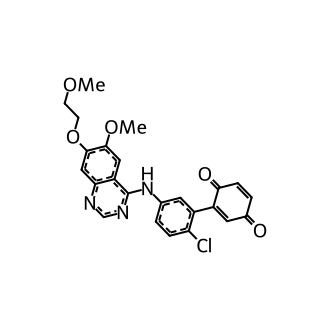 COCCOc1cc2ncnc(Nc3ccc(Cl)c(C4=CC(=O)C=CC4=O)c3)c2cc1OC